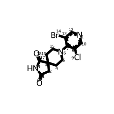 O=C1CC2(CCN(c3c(Cl)cncc3Br)CC2)C(=O)N1